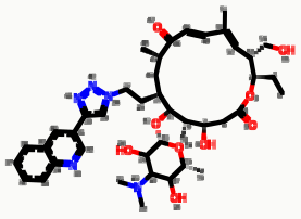 CC[C@H]1OC(=O)C[C@@H](O)[C@H](C)[C@@H](O[C@@H]2O[C@H](C)C(O)C(N(C)C)C2O)[C@@H](CCn2cc(-c3cnc4ccccc4c3)nn2)C[C@@H](C)C(=O)/C=C/C(C)=C/[C@@H]1CO